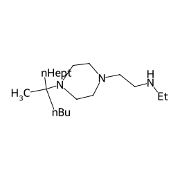 CCCCCCCC(C)(CCCC)N1CCN(CCNCC)CC1